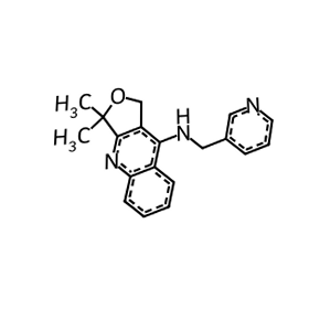 CC1(C)OCc2c1nc1ccccc1c2NCc1cccnc1